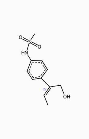 C/C=C(\CO)c1ccc(NS(C)(=O)=O)cc1